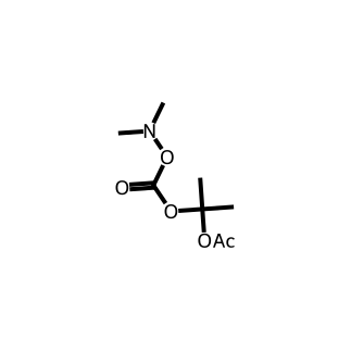 CC(=O)OC(C)(C)OC(=O)ON(C)C